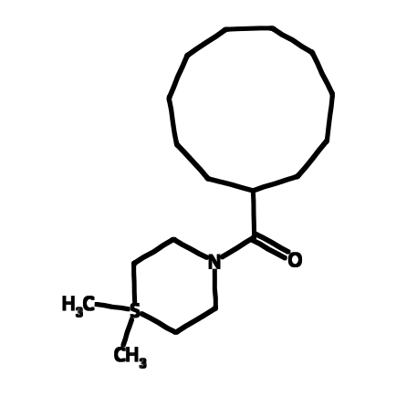 CS1(C)CCN(C(=O)C2CCCCCCCCCC2)CC1